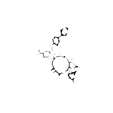 CC[C@H]1OC(=O)[C@@](C)(F)C(=O)[C@H](C)[C@@H](O[C@@H]2O[C@H](CNc3ccc(-c4cncnc4)cc3)CC(N(C)C)C2O)[C@](C)(OC)C[C@@H](C)C(=O)[C@H](C)[C@H]2NC(=O)O[C@@]21n1ccc(N)nc1=O